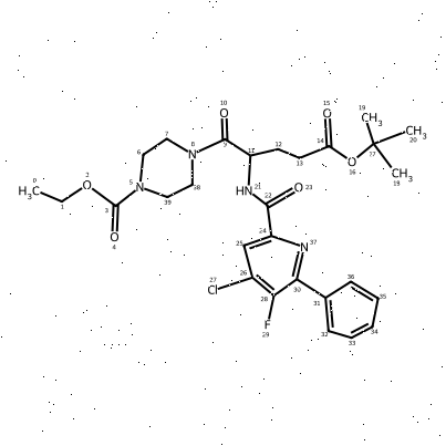 CCOC(=O)N1CCN(C(=O)C(CCC(=O)OC(C)(C)C)NC(=O)c2cc(Cl)c(F)c(-c3ccccc3)n2)CC1